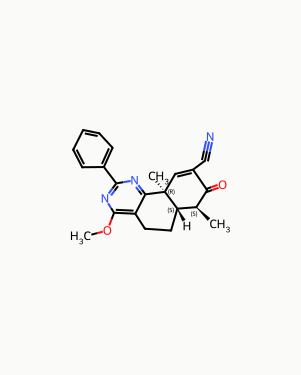 COc1nc(-c2ccccc2)nc2c1CC[C@H]1[C@H](C)C(=O)C(C#N)=C[C@]21C